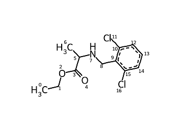 CCOC(=O)C(C)NCc1c(Cl)cccc1Cl